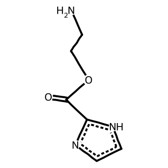 NCCOC(=O)c1ncc[nH]1